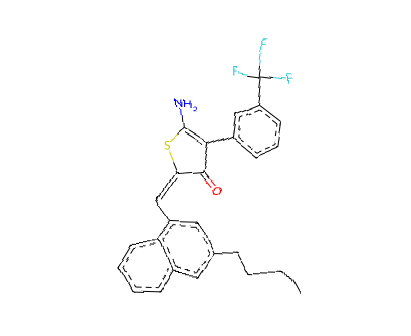 CCCCc1cc(C=C2SC(N)=C(c3cccc(C(F)(F)F)c3)C2=O)c2ccccc2c1